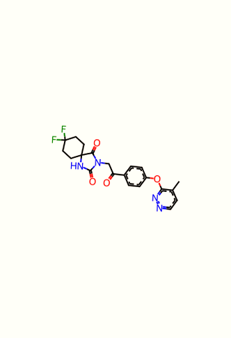 Cc1ccnnc1Oc1ccc(C(=O)CN2C(=O)NC3(CCC(F)(F)CC3)C2=O)cc1